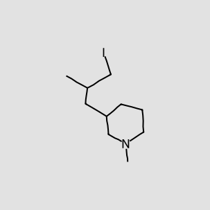 CC(CI)CC1CCCN(C)C1